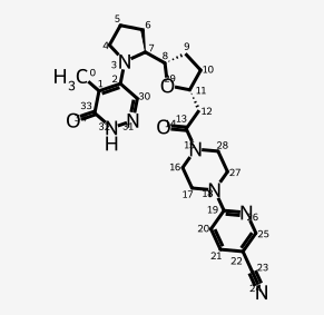 Cc1c(N2CCC[C@H]2[C@@H]2CC[C@H](CC(=O)N3CCN(c4ccc(C#N)cn4)CC3)O2)cn[nH]c1=O